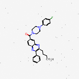 O=C(O)CCCc1nc2cc(C(=O)N3CCN(c4ccc(F)cc4)CC3)ccc2nc1-c1ccccc1